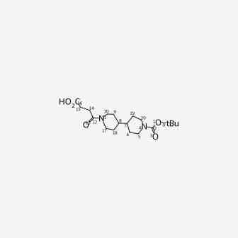 CC(C)(C)OC(=O)N1CCC(C2CCN(C(=O)CCC(=O)O)CC2)CC1